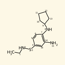 CCNSc1ccc(NC2CCCC2)c(N)c1